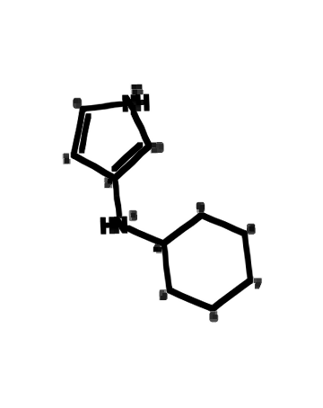 c1cc(NC2CCCCC2)c[nH]1